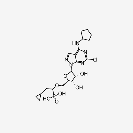 O=P(O)(O)C(CC1CC1)OC[C@H]1O[C@@H](n2ncc3c(NC4CCCC4)nc(Cl)nc32)[C@H](O)[C@@H]1O